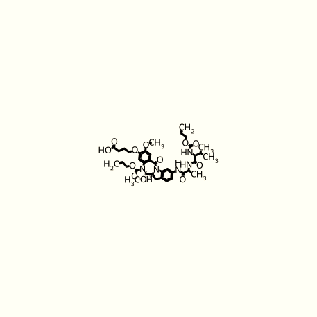 C=CCOC(=O)NC(C(=O)NC(C)C(=O)Nc1ccc2c(c1)N1C(=O)c3cc(OC)c(OCCCC(=O)O)cc3N(C(=O)OCC=C)[C@@H](OC)[C@@H]1C2)C(C)C